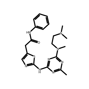 Cc1nc(Nc2ncc(CC(=O)Nc3ccccc3)s2)nc(N(C)CCN(C)C)n1